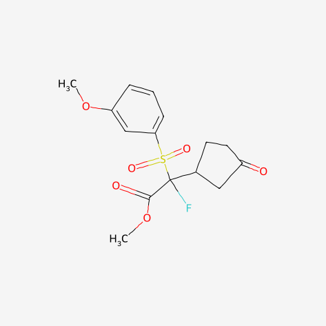 COC(=O)C(F)(C1CCC(=O)C1)S(=O)(=O)c1cccc(OC)c1